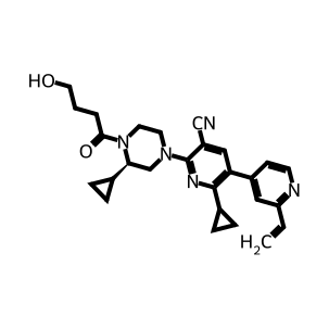 C=Cc1cc(-c2cc(C#N)c(N3CCN(C(=O)CCCO)[C@H](C4CC4)C3)nc2C2CC2)ccn1